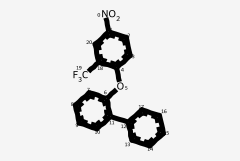 O=[N+]([O-])c1ccc(Oc2ccccc2-c2ccccc2)c(C(F)(F)F)c1